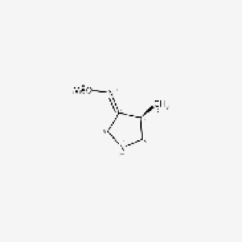 CO/N=C1\CNC[C@@H]1C